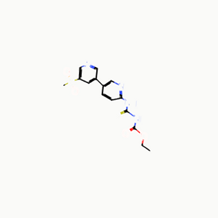 CCOC(=O)NC(=S)Nc1ccc(-c2cncc(S(C)(=O)=O)c2)cn1